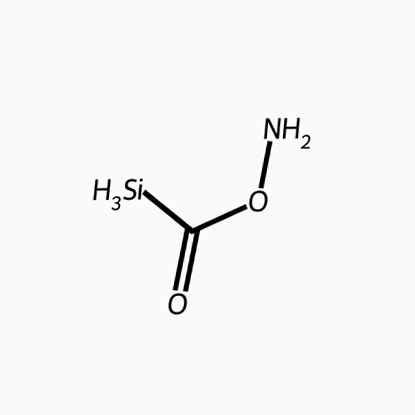 NOC(=O)[SiH3]